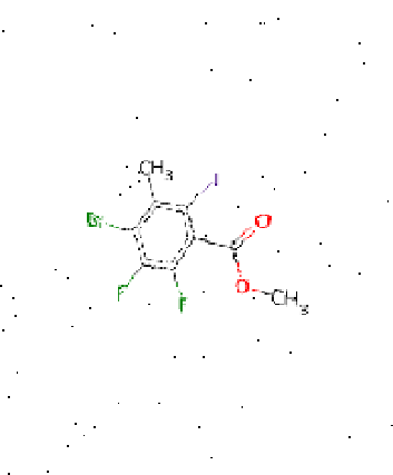 COC(=O)c1c(F)c(F)c(Br)c(C)c1I